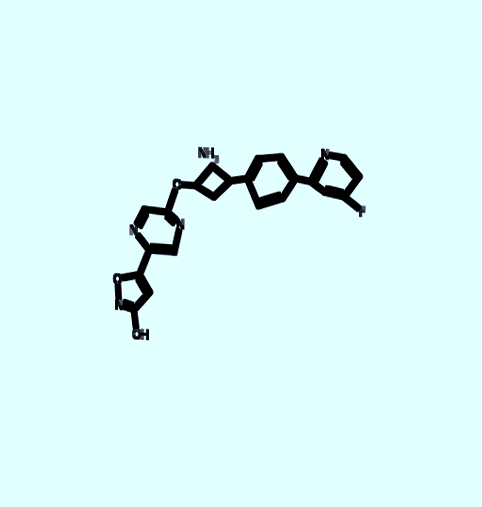 N.Oc1cc(-c2cnc(OC3CC(c4ccc(-c5cc(F)ccn5)cc4)C3)cn2)on1